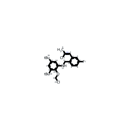 C/C(Cl)=C/c1cc(F)ccc1CNc1cc(C(C)(C)C)cc(C(C)(C)C)c1OCCl